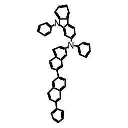 c1ccc(-c2ccc3cc(-c4ccc5ccc(N(c6ccccc6)c6ccc7c8ccccc8n(-c8ccccc8)c7c6)cc5c4)ccc3c2)cc1